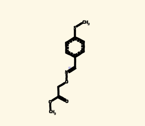 COC(=O)CO/N=C/c1ccc(SC)cc1